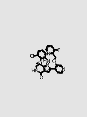 COc1c(Cl)cccc1Nn1c(-c2ccncc2OCc2ncccc2F)cc2c1CCNC2=O